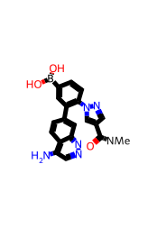 CNC(=O)c1cnn(-c2ccc(B(O)O)cc2-c2ccc3c(N)cnnc3c2)c1